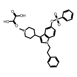 CN1CCC(c2cn(CCc3ccccc3)c3ccc(OS(=O)(=O)c4ccccc4)cc23)CC1.O=C(O)C(=O)O